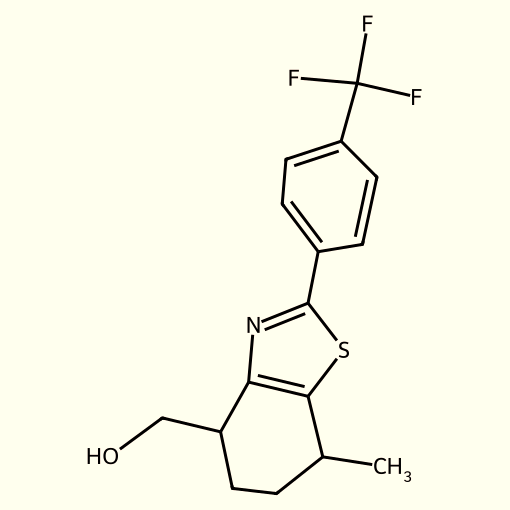 CC1CCC(CO)c2nc(-c3ccc(C(F)(F)F)cc3)sc21